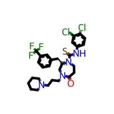 O=C1CCN(C(=S)Nc2ccc(Cl)c(Cl)c2)[C@H](Cc2cccc(C(F)(F)F)c2)CN1CCCN1CCCCC1